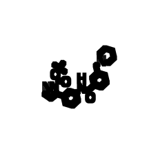 CC(C)(C)OC(=O)n1nccc1-c1cccc(NC(=O)c2cccc(CN3CCCCC3)c2)c1